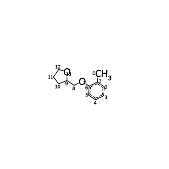 Cc1ccccc1OCC1CCCO1